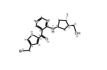 C[C@H]1C[C@H](Nc2ncncc2C(=O)c2cc(CBr)cs2)C[C@@H]1CO